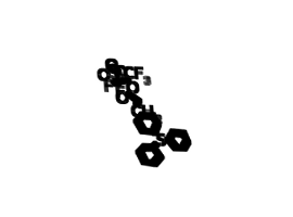 C=CC(=O)OC(C(F)(F)F)C(F)(F)S(=O)(=O)[O-].c1ccc([S+](c2ccccc2)c2ccccc2)cc1